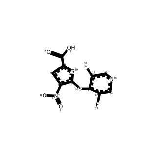 O=C(O)c1cc([N+](=O)[O-])c(Sc2c(F)cncc2F)s1